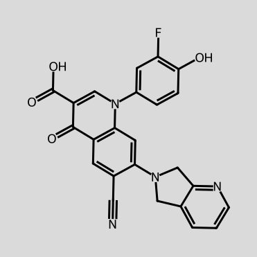 N#Cc1cc2c(=O)c(C(=O)O)cn(-c3ccc(O)c(F)c3)c2cc1N1Cc2cccnc2C1